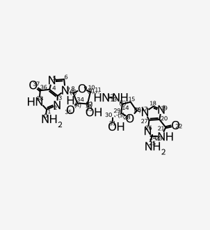 Nc1nc2c(ncn2[C@@H]2O[C@H](CNN[C@H]3C[C@H](n4cnc5c(=O)[nH]c(N)nc54)O[C@@H]3CO)[C@@H](O)[C@H]2O)c(=O)[nH]1